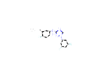 COc1cc(Nc2ncn(-c3cc(F)cc(F)c3)n2)ccc1F